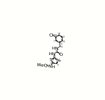 CONc1cnc(NC(=O)NCc2cccc(Cl)c2)s1